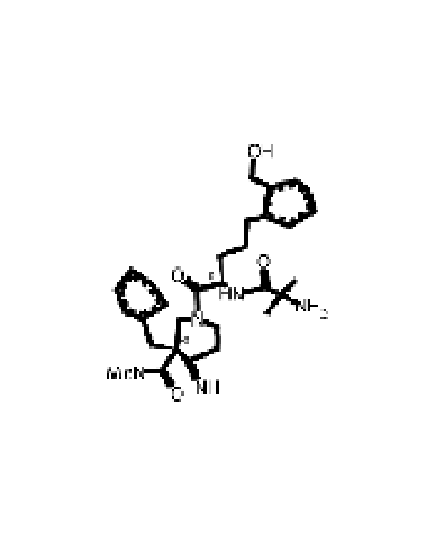 CNC(=O)[C@]1(Cc2ccccc2)CN(C(=O)[C@@H](CCCc2ccccc2CO)NC(=O)C(C)(C)N)CCC1=N